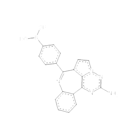 Nc1nc2c3c(ccn3n1)C(c1ccc(B(O)O)cc1)=Nc1ccccc1-2